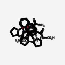 CC1(CC(N)=O)c2ccc(cc2)[C@]1(C(=O)NC(=O)O)N1CCCC1[C@H]1CC[C@H](C2CCCN2[C@@]2(C(=O)NC(=O)O)c3ccc(cc3)C2(C)CC(N)=O)N1c1ccccc1